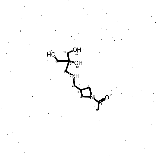 CC(=O)N1CC(CNCC(O)(CO)CO)C1